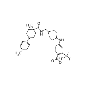 Cc1ccc(N2CCC(C)(C(=O)NCC3CCC(Nc4ccc([N+](=O)[O-])c(C(F)(F)F)c4)CC3)CC2)cc1